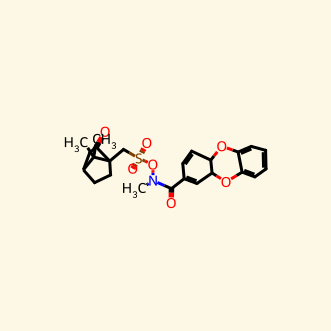 CN(OS(=O)(=O)CC12CCC(CC1=O)C2(C)C)C(=O)C1=CC2Oc3ccccc3OC2C=C1